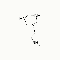 NCCN1CNCNC1